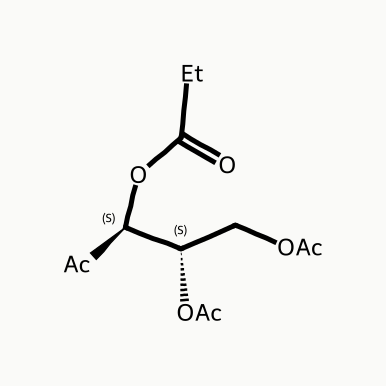 CCC(=O)O[C@H](C(C)=O)[C@H](COC(C)=O)OC(C)=O